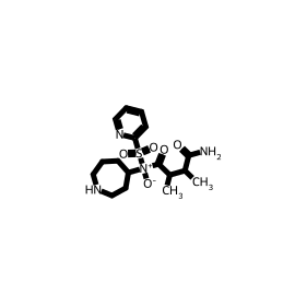 CC(C(N)=O)C(C)C(=O)[N+]([O-])(C1CCCNCC1)S(=O)(=O)c1ccccn1